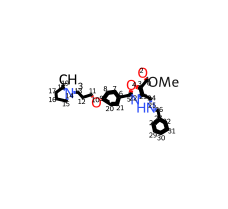 COC(=O)c1oc(-c2ccc(OCCCN3CCCC3C)cc2)nc1CNCc1ccccc1